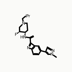 C=C(N[C@@H]1CCN(CC(C)C)C[C@@H]1F)C1=Nc2ccc(-c3cnn(C)c3)cc21